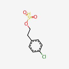 O=[SH](=O)OCCc1ccc(Cl)cc1